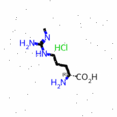 CN=C(N)NCCC[C@@H](N)C(=O)O.Cl